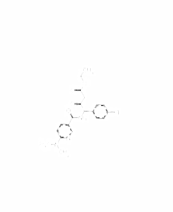 CCOC(=O)CC(=O)C(NC(=O)c1ccc(N(C)C)nc1)c1ccc(Cl)cc1